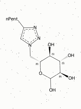 CCCCCc1cn(C[C@H]2OC(O)[C@H](O)[C@@H](O)[C@@H]2O)nn1